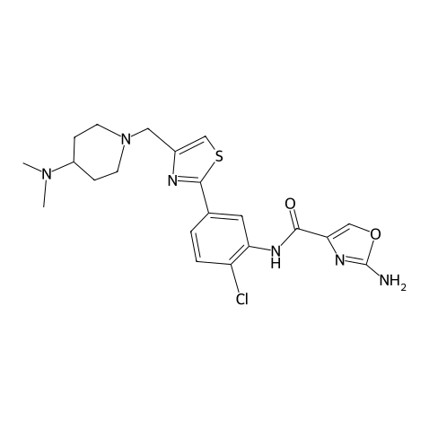 CN(C)C1CCN(Cc2csc(-c3ccc(Cl)c(NC(=O)c4coc(N)n4)c3)n2)CC1